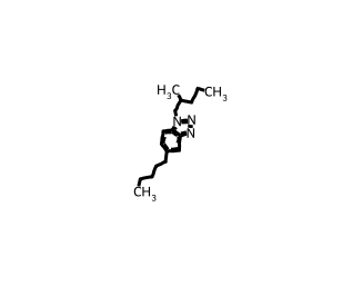 CCCCCc1ccc2c(c1)nnn2CC(C)CCC